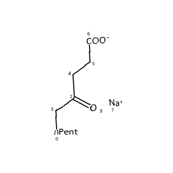 CCCCCCC(=O)CCC(=O)[O-].[Na+]